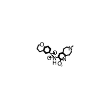 COc1nc2c(cc1NS(=O)(=O)c1ccc3c(c1)CCCO3)CCN(C)CC2